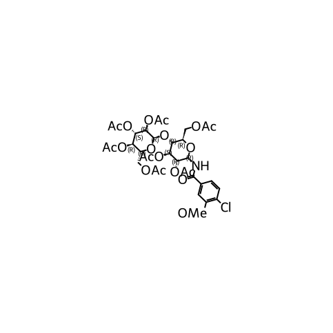 COc1cc(C(=O)N[C@@H]2O[C@H](COC(C)=O)[C@@H](O[C@H]3O[C@H](COC(C)=O)[C@@H](OC(C)=O)[C@H](OC(C)=O)[C@H]3OC(C)=O)[C@H](OC(C)=O)[C@H]2OC(C)=O)ccc1Cl